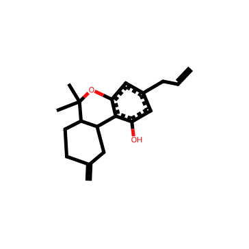 C=CCc1cc(O)c2c(c1)OC(C)(C)C1CCC(=C)CC21